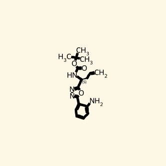 C=CC[C@H](NC(=O)OC(C)(C)C)c1nnc(-c2ccccc2N)o1